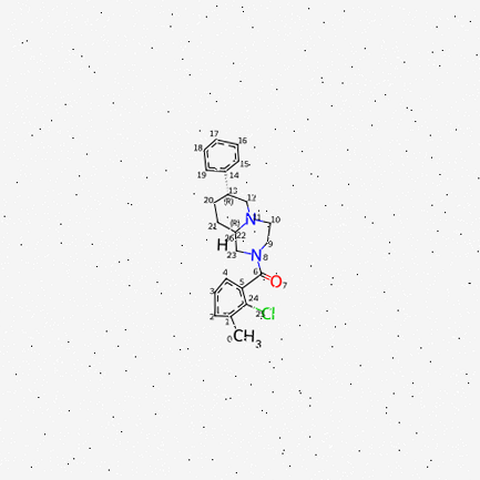 Cc1cccc(C(=O)N2CCN3C[C@@H](c4ccccc4)CC[C@@H]3C2)c1Cl